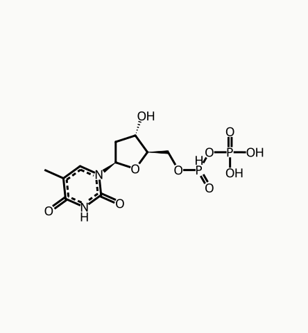 Cc1cn([C@H]2C[C@H](O)[C@@H](CO[PH](=O)OP(=O)(O)O)O2)c(=O)[nH]c1=O